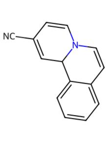 N#CC1=CC2c3ccccc3C=CN2C=C1